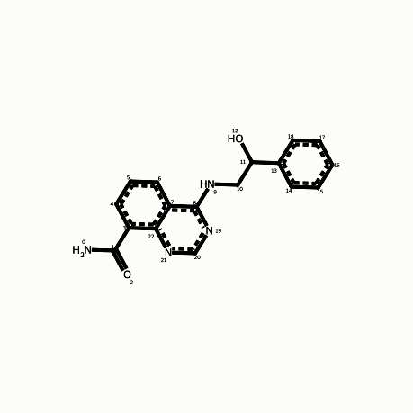 NC(=O)c1cccc2c(NCC(O)c3ccccc3)ncnc12